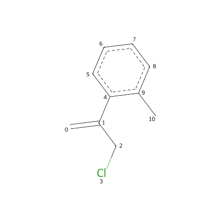 C=C(CCl)c1ccccc1C